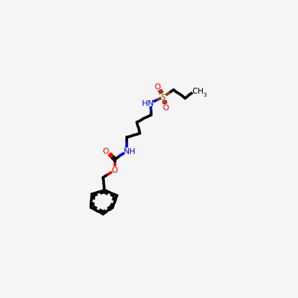 CCCS(=O)(=O)NCCCCNC(=O)OCc1ccccc1